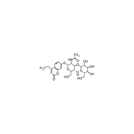 CCc1cc(=O)oc2cc(OC3OC(CO)[C@@H](O)[C@H](O[C@@H]4OC(CO)[C@H](O)[C@H](O)C4O)C3NC(C)=O)ccc12